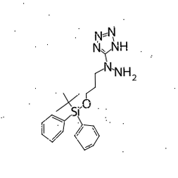 CC(C)(C)[Si](OCCCN(N)c1nnn[nH]1)(c1ccccc1)c1ccccc1